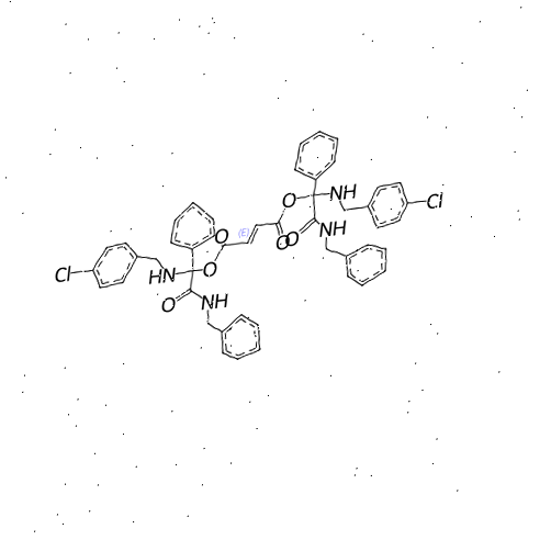 O=C(/C=C/C(=O)OC(NCc1ccc(Cl)cc1)(C(=O)NCc1ccccc1)c1ccccc1)OC(NCc1ccc(Cl)cc1)(C(=O)NCc1ccccc1)c1ccccc1